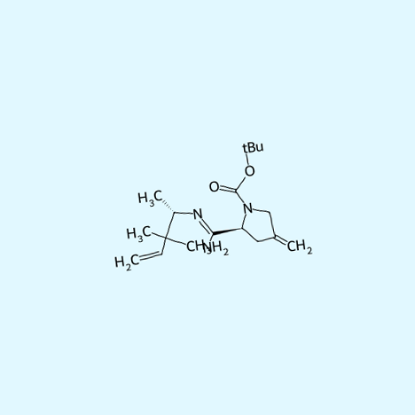 C=CC(C)(C)[C@H](C)/N=C(\N)[C@@H]1CC(=C)CN1C(=O)OC(C)(C)C